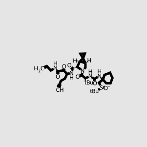 C#CCCC(NC(=O)[C@@H]1[C@@H]2[C@H](CN1C(=O)[C@@H](NC(=O)NC1(C[S+]([O-])C(C)(C)C)CCCCC1)C(C)(C)C)C21CC1)C(=O)C(=O)NCC=C